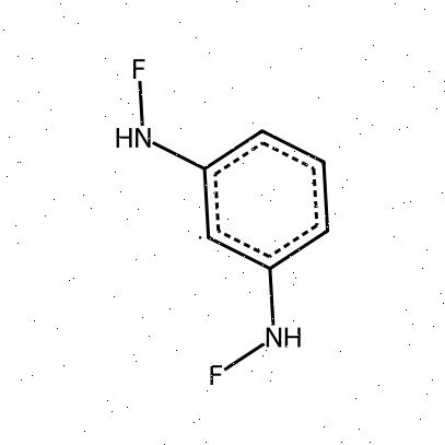 FNc1[c]c(NF)ccc1